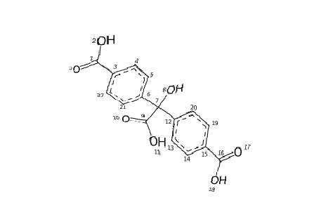 O=C(O)c1ccc(C(O)(C(=O)O)c2ccc(C(=O)O)cc2)cc1